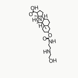 C[C@]12CCC(OC(=O)NCCNCCO)CC1CC[C@@H]1[C@H]2CC[C@]2(C)C(C(=O)O)CC[C@@]12N